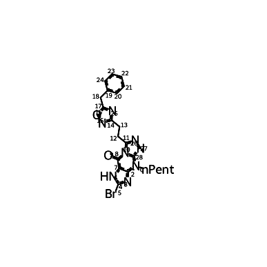 CCCCCn1c2nc(Br)[nH]c2c(=O)n2c(CCc3noc(Cc4ccccc4)n3)nnc12